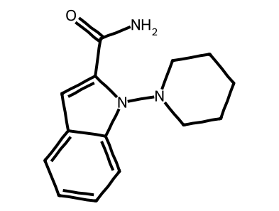 NC(=O)c1cc2ccccc2n1N1CCCCC1